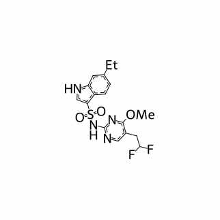 CCc1ccc2c(S(=O)(=O)Nc3ncc(CC(F)F)c(OC)n3)c[nH]c2c1